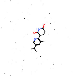 Cc1cc(C(C)C)cnc1C1CCC(=O)NC1=O